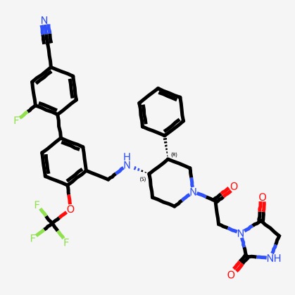 N#Cc1ccc(-c2ccc(OC(F)(F)F)c(CN[C@H]3CCN(C(=O)CN4C(=O)CNC4=O)C[C@H]3c3ccccc3)c2)c(F)c1